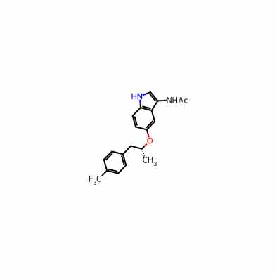 CC(=O)Nc1c[nH]c2ccc(O[C@H](C)Cc3ccc(C(F)(F)F)cc3)cc12